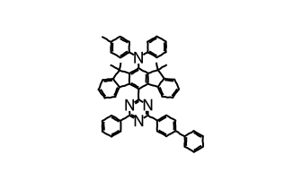 Cc1ccc(N(c2ccccc2)c2c3c(c(-c4nc(-c5ccccc5)nc(-c5ccc(-c6ccccc6)cc5)n4)c4c2C(C)(C)c2ccccc2-4)-c2ccccc2C3(C)C)cc1